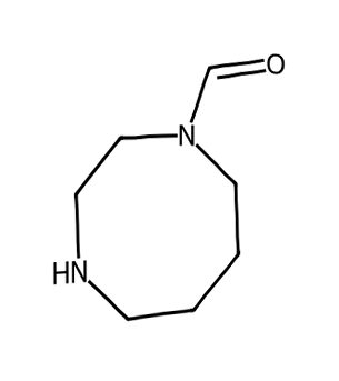 O=CN1CCCCNCC1